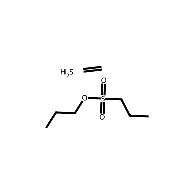 C=C.CCCOS(=O)(=O)CCC.S